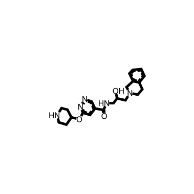 O=C(NCC(O)CN1CCc2ccccc2C1)c1cnnc(OC2CCNCC2)c1